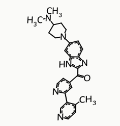 Cc1ccncc1-c1cc(C(=O)c2nc3ccc(N4CCC(N(C)C)CC4)cc3[nH]2)ccn1